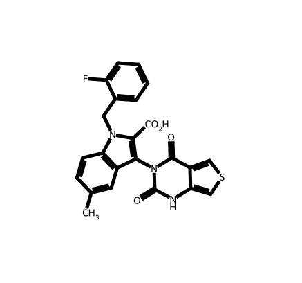 Cc1ccc2c(c1)c(-n1c(=O)[nH]c3cscc3c1=O)c(C(=O)O)n2Cc1ccccc1F